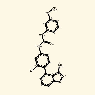 Nc1noc2cccc(-c3ccc(NC(=O)Nc4cccc(OC(F)(F)F)c4)cc3Cl)c12